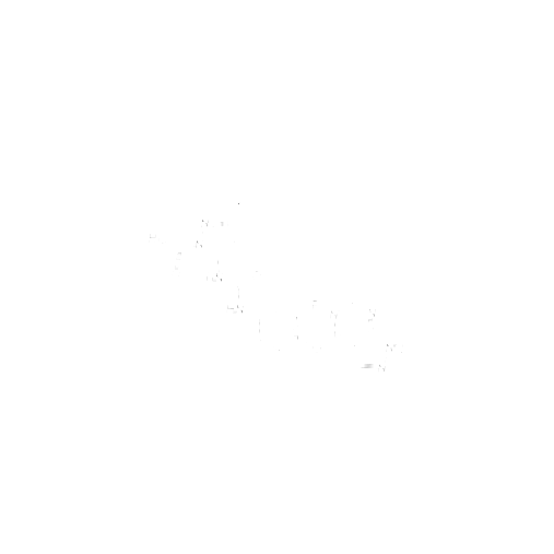 CC(C)(C)c1cc(NC(=O)Nc2ccc(Oc3ncnc4[nH]ncc34)c(F)c2)n(C(=O)O)n1